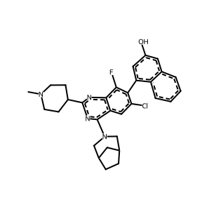 CN1CCC(c2nc(N3CC4CCC(C4)C3)c3cc(Cl)c(-c4cc(O)cc5ccccc45)c(F)c3n2)CC1